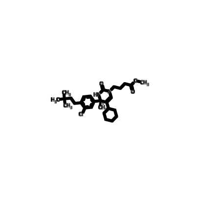 COC(=O)CCCN1C=C(C2CCCCC2)[C@](C)(c2ccc(CCC(C)(C)C)c(Cl)c2)NC1=O